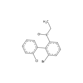 CC[S+]([O-])c1cccc(Br)c1-c1ccccc1Cl